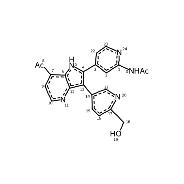 CC(=O)Nc1cc(-c2[nH]c3c(C(C)=O)ccnc3c2-c2ccc(CO)nc2)ccn1